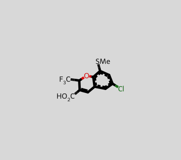 CSc1cc(Cl)cc2c1OC(C(F)(F)F)C(C(=O)O)=C2